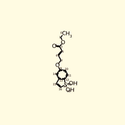 CCOC(=O)C=CCOc1ccc2c(c1)C=CS2(O)O